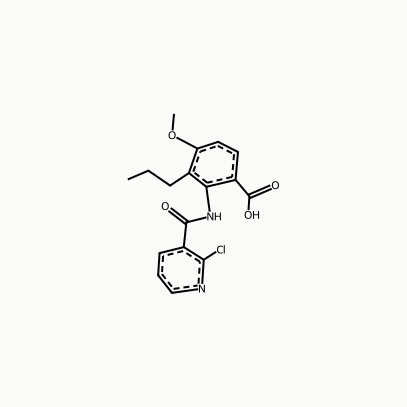 CCCc1c(OC)ccc(C(=O)O)c1NC(=O)c1cccnc1Cl